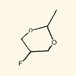 CC1OCC(F)CO1